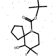 CC(C)(C)OC(=O)N1CCC(F)(F)C(O)C12CCCC2